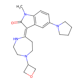 CN1C(=O)/C(=C2/CCN(C3COC3)CCN2)c2cc(N3CCCC3)ccc21